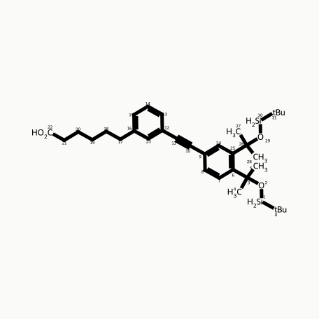 CC(C)(C)[SiH2]OC(C)(C)c1ccc(C#Cc2cccc(CCCCCC(=O)O)c2)cc1C(C)(C)O[SiH2]C(C)(C)C